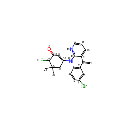 C=C(c1cccc(Br)c1)c1cccnc1NC1=CC(=O)C(F)C(C)(C)C1